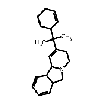 CC(C)(C1=CC2C3C=CC=CC3CN2CC1)C1C=CCCC1